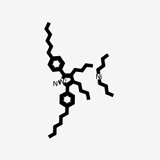 CCCCCCc1ccc(C2=C(CCCC)C(CCCC)=C(c3ccc(CCCCCC)cc3)[N+]2=[N-])cc1.CCC[CH2][Ni][CH2]CCC